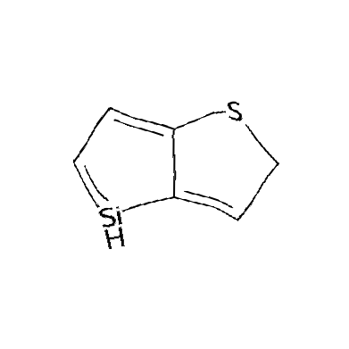 C1=[SiH]C2=CCSC2=C1